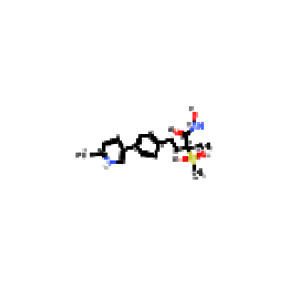 COc1ccc(-c2ccc(CC[C@](C)(C(=O)NO)S(C)(=O)=O)cc2)cn1